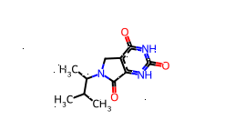 CC(C)C(C)N1Cc2c([nH]c(=O)[nH]c2=O)C1=O